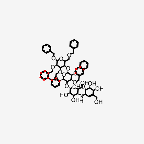 OCC1=CC(N[C@@H]2C(CO)O[C@@H](OC3[C@H](OCc4ccccc4)C(OCc4ccccc4)[C@H](OC4C(COCc5ccccc5)OC(OCc5ccccc5)[C@H](OCc5ccccc5)C4OCc4ccccc4)O[C@@H]3COCc3ccccc3)[C@H](O)C2O)C(O)[C@@H](O)C1O